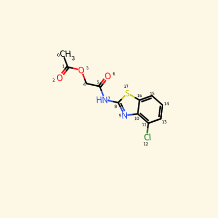 CC(=O)OCC(=O)Nc1nc2c(Cl)cccc2s1